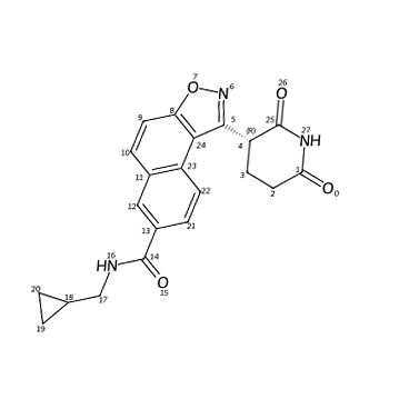 O=C1CC[C@H](c2noc3ccc4cc(C(=O)NCC5CC5)ccc4c23)C(=O)N1